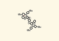 CC(C)(C)c1ccc(N(c2ccc(C(C)(C)C)cc2)c2cc3c(c4c2oc2ccccc24)-c2cc4c(cc2[Si]3(C)C)-c2c(cc(N(c3ccc(C(C)(C)C)cc3)c3ccc(C(C)(C)C)cc3)c3c2oc2ccccc23)[Si]4(C)C)cc1